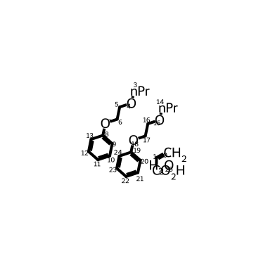 C=CC(=O)O.CCCOCCOc1ccccc1.CCCOCCOc1ccccc1.O